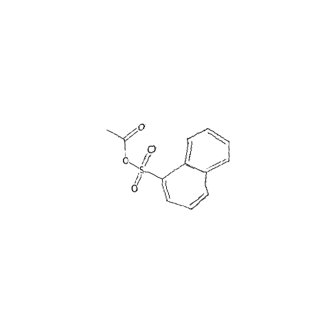 CC(=O)OS(=O)(=O)c1cccc2ccccc12